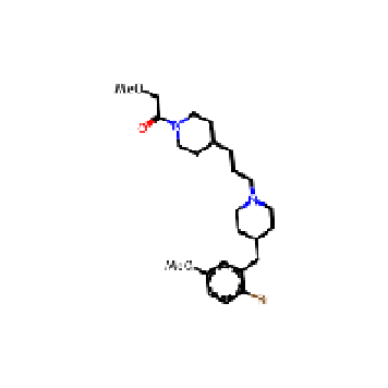 COCC(=O)N1CCC(CCCN2CCC(Cc3cc(OC)ccc3Br)CC2)CC1